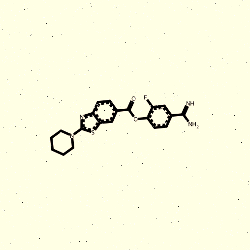 N=C(N)c1ccc(OC(=O)c2ccc3nc(N4CCCCC4)sc3c2)c(F)c1